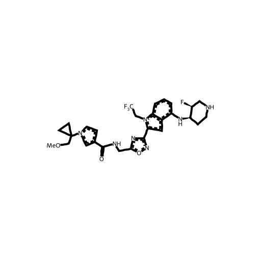 COCC1(n2ccc(C(=O)NCc3nc(-c4cc5c(N[C@@H]6CCNC[C@@H]6F)cccc5n4CC(F)(F)F)no3)c2)CC1